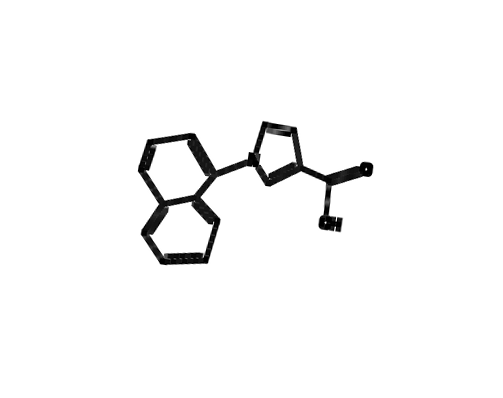 O=C(O)c1ccn(-c2cccc3ccccc23)c1